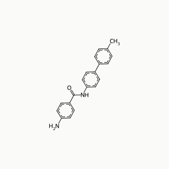 Cc1ccc(-c2ccc(NC(=O)c3ccc(N)cc3)cc2)cc1